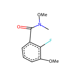 COc1cccc(C(=O)N(C)OC)c1F